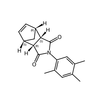 Cc1cc(C)c(N2C(=O)[C@@H]3[C@H](C2=O)[C@@H]2C=C[C@H]3C2)cc1C